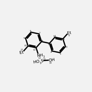 CCc1cccc(-c2cccc(CC)c2N)c1.O=S(=O)(O)O